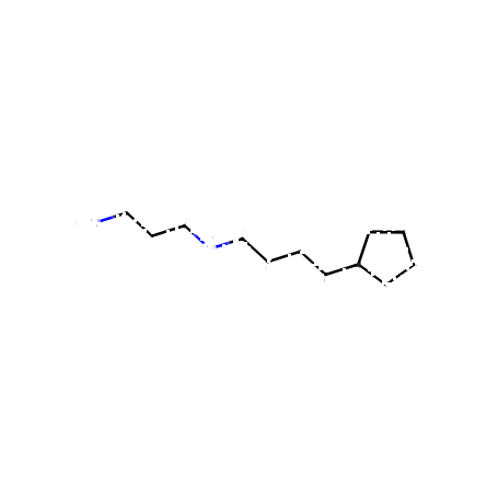 NCCCNCCCCC1CCCC1